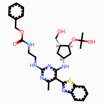 Cc1nc(NCCNC(=O)OCc2ccccc2)nc(N[C@@H]2C[C@H](CO)[C@@H](OC(C)(C)O)C2)c1-c1nc2ccccc2s1